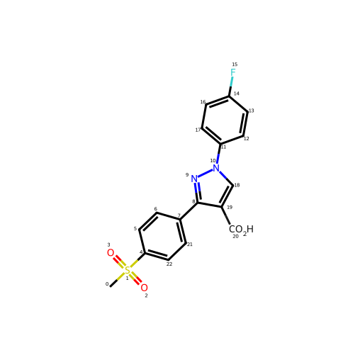 CS(=O)(=O)c1ccc(-c2nn(-c3ccc(F)cc3)cc2C(=O)O)cc1